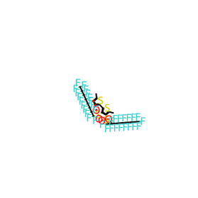 Cc1ccc(-c2sc(C)c(S(=O)(=O)C(F)(F)C(F)(F)C(F)(F)C(F)(F)C(F)(F)C(F)(F)C(F)(F)C(F)(F)F)c2S(=O)(=O)C(F)(F)C(F)(F)C(F)(F)C(F)(F)C(F)(F)C(F)(F)C(F)(F)C(F)(F)F)s1